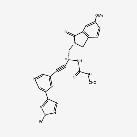 COc1ccc2c(c1)C(=O)N(C[C@@H](C#Cc1cncc(-c3nnn(C(C)C)n3)c1)NC(=O)NC=O)C2